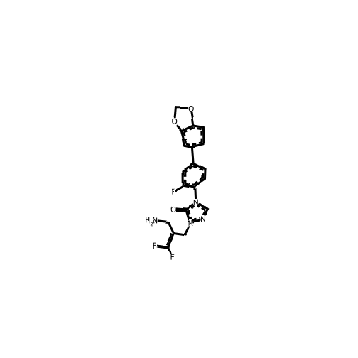 NCC(Cn1ncn(-c2ccc(-c3ccc4c(c3)OCO4)cc2F)c1=O)=C(F)F